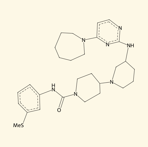 CSc1cccc(NC(=O)N2CCC(N3CCCC(Nc4nccc(N5CCCCCC5)n4)C3)CC2)c1